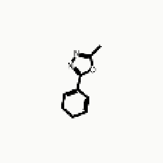 Cc1nnc(C2=CCCC=C2)o1